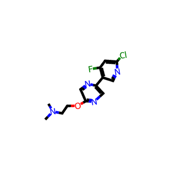 CN(C)CCOc1cnc(-c2cnc(Cl)cc2F)cn1